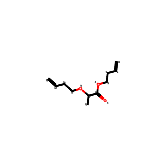 C=CCCOC(=O)C(C)OCCC=C